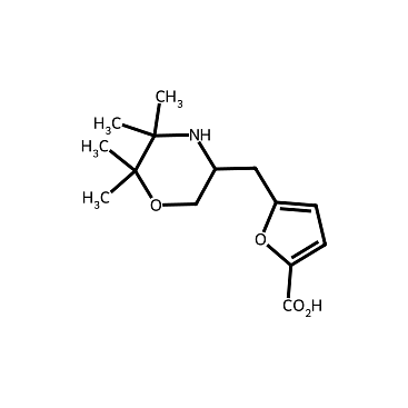 CC1(C)NC(Cc2ccc(C(=O)O)o2)COC1(C)C